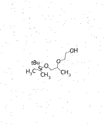 CC(CO[Si](C)(C)C(C)(C)C)OCCO